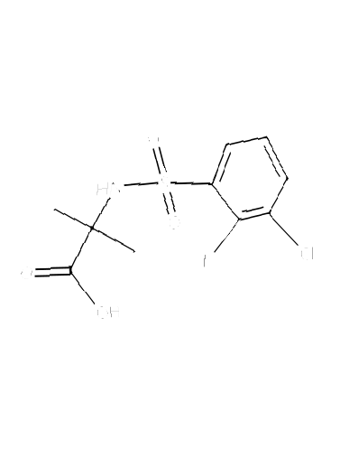 CC(C)(NS(=O)(=O)c1cccc(Cl)c1F)C(=O)O